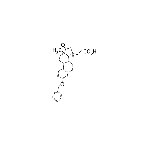 C[C@]12CCC3c4ccc(OCc5ccccc5)cc4CCC3C1[C@H](CCC(=O)O)CC2=O